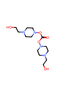 O=C(ON1CCN(CCO)CC1)ON1CCN(CCO)CC1